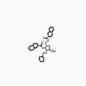 O=C(OC[C@H]1SC(O)[C@H](OCc2ccccc2)[C@H]1OC(=O)c1ccc2ccccc2c1)c1ccc2ccccc2c1